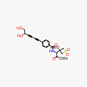 COC(=O)C(NC(=O)c1ccc(C#CC#CC(O)CO)cc1)C1(OC)CS(=O)(=O)C1